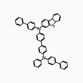 C1=CC2Sc3cc(N(c4ccc(-c5ccccc5)cc4)c4ccc(-c5ccc(N(c6ccccc6)c6ccc(-c7ccccc7)cc6)cc5)cc4)ccc3C2C=C1